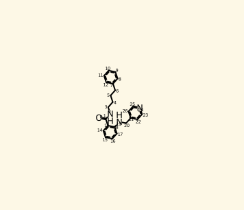 O=C(NCCCCc1ccccc1)c1ccccc1NCc1ccncc1